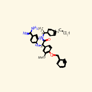 CC(=O)O.COc1cc([C@@H](Nc2ccc(C(=N)N)cc2)C(=O)N[C@@H](C)c2ccccc2)ccc1OCc1ccccc1